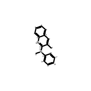 Cc1cc2ccccc2nc1N(C)c1ccccc1